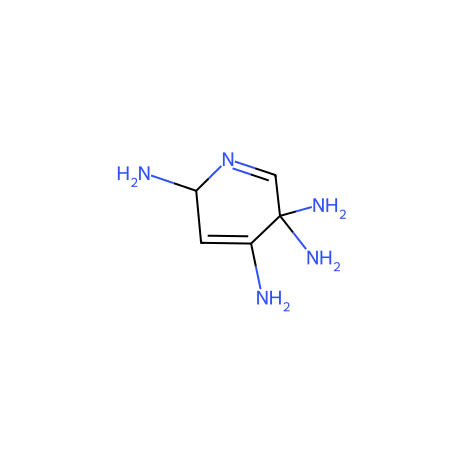 NC1=CC(N)N=CC1(N)N